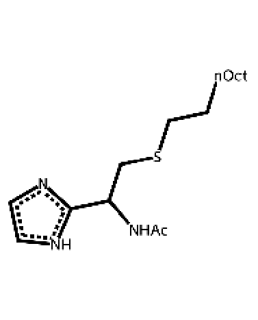 CCCCCCCCCCSCC(NC(C)=O)c1ncc[nH]1